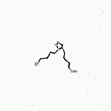 CSCCCCc1cnnn1CCCCC(C)C